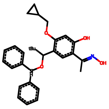 CC(=NO)c1cc(C(O[SiH](c2ccccc2)c2ccccc2)C(C)(C)C)c(OCC2CC2)cc1O